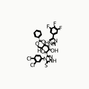 O[C@@H]1[C@@H](n2cc(-c3cc(F)c(F)c(F)c3)nn2)[C@H]2O[C@@H](c3ccccc3)OC[C@H]2O[C@H]1c1n[nH]c(=S)n1-c1ccc(Cl)c(Cl)c1